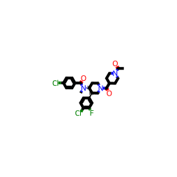 CC(=O)N1CCC(C(=O)N2CC[C@@H](N(C)C(=O)c3ccc(Cl)cc3)[C@H](c3ccc(Cl)c(F)c3)C2)CC1